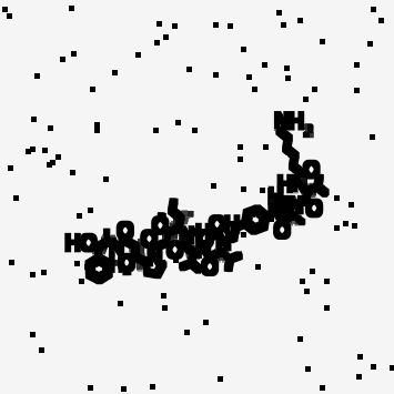 CC[C@H](C)[C@@H]([C@@H](CC(=O)N1CCC[C@H]1[C@H](OC)[C@@H](C)C(=O)N[C@H](C)[C@@H](O)c1ccccc1)OC)N(C)C(=O)[C@@H](NC(=O)[C@H](C(C)C)N(CCc1ccc(NC(=O)[C@H](C)NC(=O)[C@@H](NC(=O)CCCCCN)C(C)C)cc1)C(=O)O)C(C)C